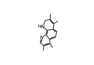 CC1=C(C)c2ccc3c(C)c(C)cnc3c2NC1